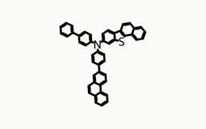 c1ccc(-c2ccc(N(c3ccc(-c4ccc5c(ccc6ccccc65)c4)cc3)c3ccc4c(c3)sc3c5ccccc5ccc43)cc2)cc1